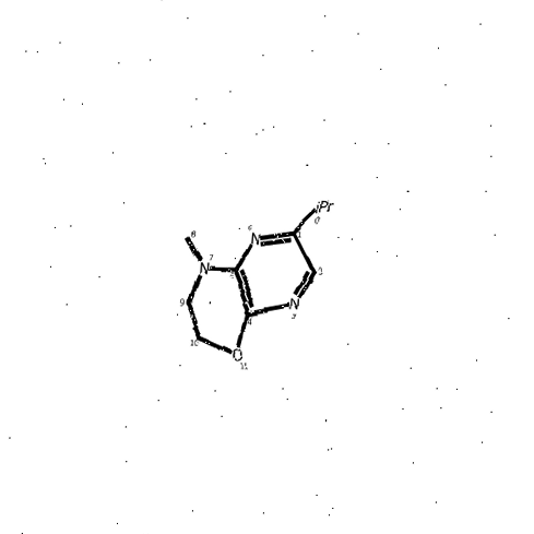 CC(C)c1cnc2c(n1)N(C)CCO2